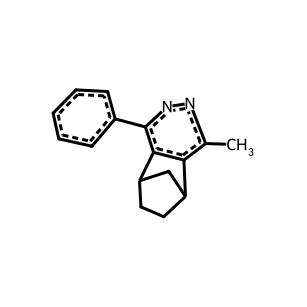 Cc1nnc(-c2ccccc2)c2c1C1CCC2C1